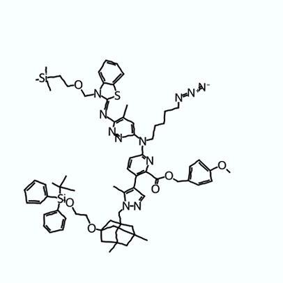 COc1ccc(COC(=O)c2nc(N(CCCCCN=[N+]=[N-])c3cc(C)c(/N=c4\sc5ccccc5n4COCC[Si](C)(C)C)nn3)ccc2-c2cnn(CC34CC5(C)CC(C)(C3)CC(OCCO[Si](c3ccccc3)(c3ccccc3)C(C)(C)C)(C5)C4)c2C)cc1